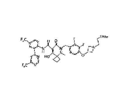 COCCN1CC(Oc2ccc(CN3C(=O)C(C(=O)Nc4ccc(C(F)(F)F)cc4-c4cc(C(F)(F)F)ncn4)=C(O)C4(CCC4)N3C)c(F)c2F)C1